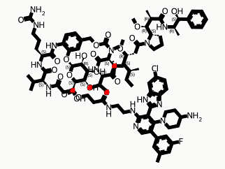 CC[C@H](C)[C@@H]([C@@H](CC(=O)N1CCC[C@H]1[C@H](OC)[C@@H](C)C(=O)N[C@H](C)[C@@H](O)c1ccccc1)OC)N(C)C(=O)[C@@H](NC(=O)[C@H](C(C)C)N(C)C(=O)OCc1ccc(NC(=O)[C@H](CCCNC(N)=O)NC(=O)[C@@H](NC(=O)CCOCCC(=O)NCCNc2ncc(-c3cc(C)cc(F)c3)c(N3CCC(N)CC3)c2-c2nc3ccc(Cl)cc3[nH]2)C(C)C)c(O[C@@H]2O[C@H](C(=O)O)[C@@H](O)[C@H](O)[C@H]2O)c1)C(C)C